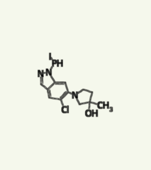 CC1(O)CCN(c2cc3c(cnn3PI)cc2Cl)C1